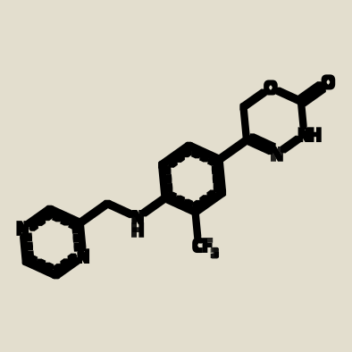 O=C1NN=C(c2ccc(NCc3cnccn3)c(C(F)(F)F)c2)CO1